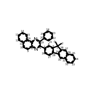 CC1(C)c2cc(-c3nc4ccc5ccccc5c4nc3-c3ccccc3)ccc2-c2cc3ccccc3cc21